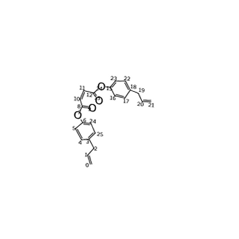 C=CCc1ccc(OC(=O)/C=C\C(=O)Oc2ccc(CC=C)cc2)cc1